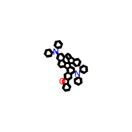 c1ccc(N(c2ccccc2)c2ccc3c4c(ccc3c2)-c2c(cc(N(c3ccccc3)c3ccccc3)c3cc5c(cc23)oc2ccccc25)C42c3ccccc3-c3ccccc32)cc1